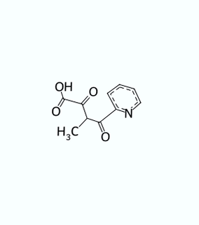 CC(C(=O)C(=O)O)C(=O)c1ccccn1